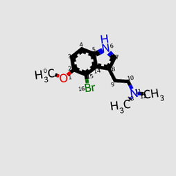 COc1ccc2[nH]cc(CCN(C)C)c2c1Br